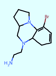 NCCN1CC2CCCN2C2=C(Br)C=CCC21